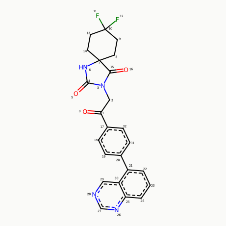 O=C(CN1C(=O)NC2(CCC(F)(F)CC2)C1=O)c1ccc(-c2cccc3ncncc23)cc1